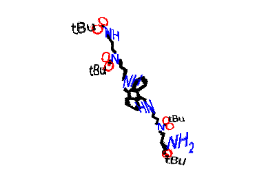 CC(C)(C)OCC(N)CCCN(CCCCNCc1c2ccccc2c(CNCCCCN(CCCCNC(=O)OC(C)(C)C)C(=O)OC(C)(C)C)c2ccccc12)C(=O)OC(C)(C)C